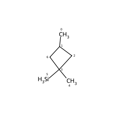 CC1CC(C)([SiH3])C1